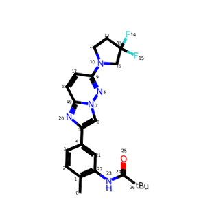 Cc1ccc(-c2cn3nc(N4CCC(F)(F)C4)ccc3n2)cc1NC(=O)C(C)(C)C